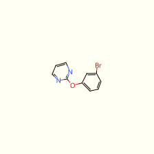 Brc1cccc(Oc2ncccn2)c1